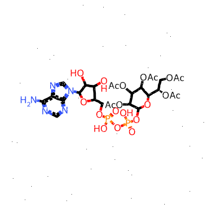 CC(=O)OC[C@@H](OC(C)=O)C1OC(OP(=O)(O)OP(=O)(O)OCC2OC(n3cnc4c(N)ncnc43)C(O)C2O)C(OC(C)=O)C(OC(C)=O)C1OC(C)=O